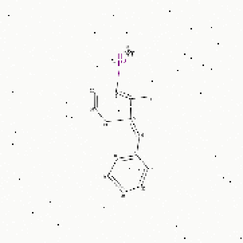 CCC[PH3]C1=C(C)C(=Cc2ccccc2)CC=C1